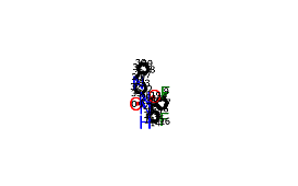 O=C1NC(c2cccc(F)c2)(c2cccc(F)c2)C(=O)N1C1CCN(Cc2ccccc2)CC1